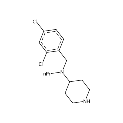 CCCN(Cc1ccc(Cl)cc1Cl)C1CCNCC1